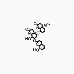 [Al+3].[O-]c1ccc2cccc(O)c2n1.[O-]c1ccc2cccc(O)c2n1.[O-]c1ccc2cccc(O)c2n1